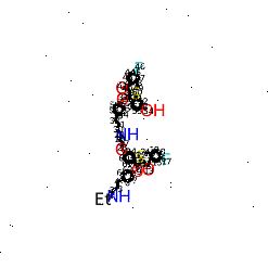 CCNCCCc1ccc(Oc2c(C(=O)c3cc(F)ccc3C)sc3cc(OCCNCCCc4ccc(Oc5c(C(=O)c6ccc(F)cc6C)sc6cc(O)ccc56)cc4)ccc23)cc1